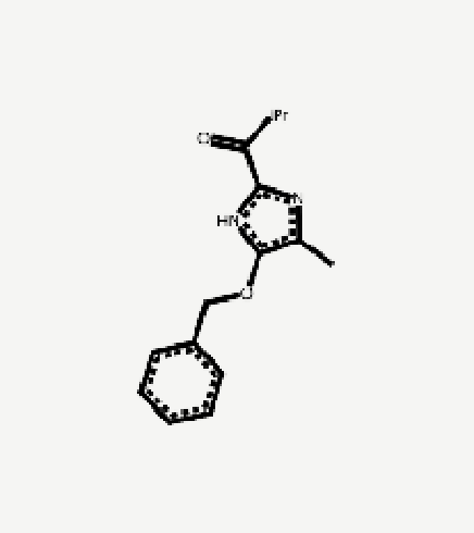 Cc1nc(C(=O)C(C)C)[nH]c1OCc1ccccc1